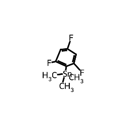 [CH3][Sn]([CH3])([CH3])[c]1c(F)cc(F)cc1F